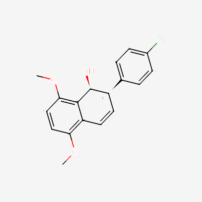 COc1ccc(OC)c2c1C=C[C@H](c1ccc(Br)cc1)[C@@H]2O